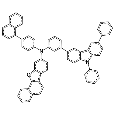 c1ccc(-c2ccc3c(c2)c2cc(-c4cccc(N(c5ccc(-c6cccc7ccccc67)cc5)c5ccc6c(c5)oc5c7ccccc7ccc65)c4)ccc2n3-c2ccccc2)cc1